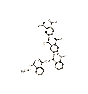 O=C([O-])c1ccccc1C(=O)[O-].O=C([O-])c1ccccc1C(=O)[O-].O=C([O-])c1ccccc1C(=O)[O-].O=C([O-])c1ccccc1C(=O)[O-].[Ba+2].[Sr+2].[Zr+4]